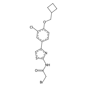 O=C(CBr)Nc1nc(-c2ccc(OCC3CCC3)c(Cl)c2)cs1